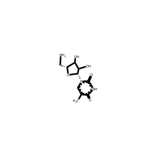 Cc1cn([C@@H]2O[C@H](CN)C(O)C2O)c(=O)[nH]c1=O